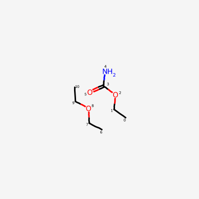 CCOC(N)=O.CCOCC